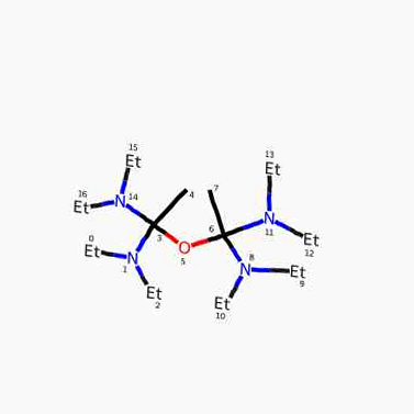 CCN(CC)C(C)(OC(C)(N(CC)CC)N(CC)CC)N(CC)CC